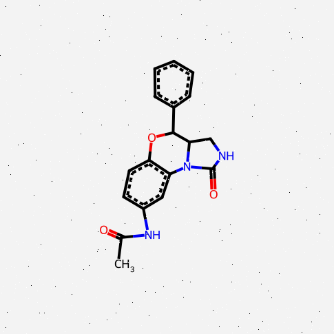 CC(=O)Nc1ccc2c(c1)N1C(=O)NCC1C(c1ccccc1)O2